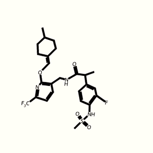 CC1CCC(=COc2nc(C(F)(F)F)ccc2CNC(=O)C(C)c2ccc(NS(C)(=O)=O)c(F)c2)CC1